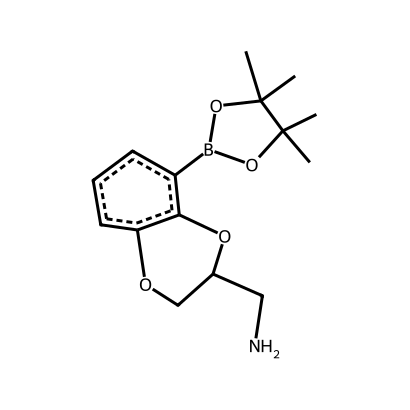 CC1(C)OB(c2cccc3c2OC(CN)CO3)OC1(C)C